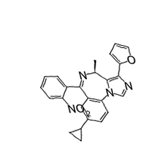 C[C@@H]1N=C(c2ccccc2[N+](=O)[O-])c2cc(C3CC3)ccc2-n2cnc(-c3ccco3)c21